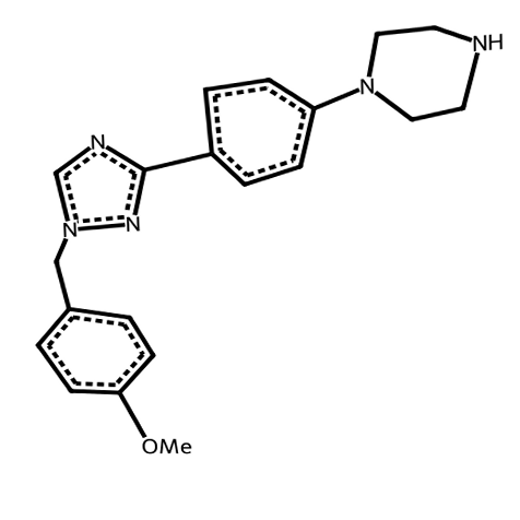 COc1ccc(Cn2cnc(-c3ccc(N4CCNCC4)cc3)n2)cc1